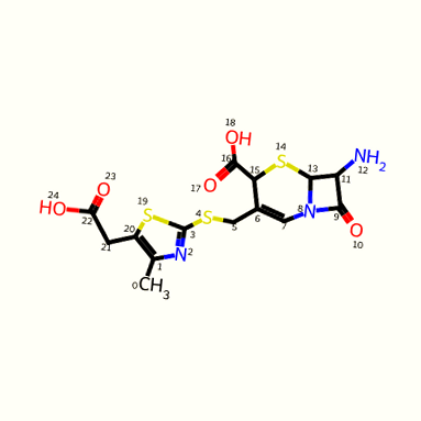 Cc1nc(SCC2=CN3C(=O)C(N)C3SC2C(=O)O)sc1CC(=O)O